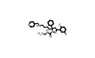 CCNC(=O)N1N=C(c2cc(F)ccc2F)CC1(CCCCNCc1ccncc1)c1ccccc1